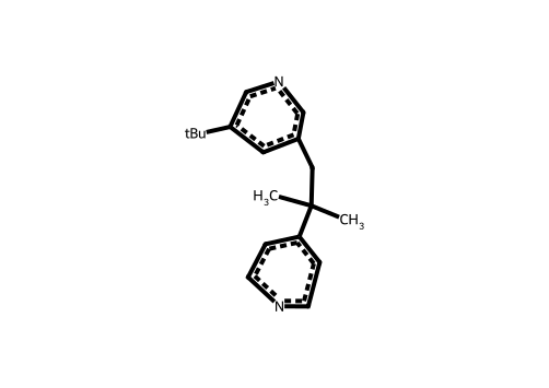 CC(C)(C)c1cncc(CC(C)(C)c2ccncc2)c1